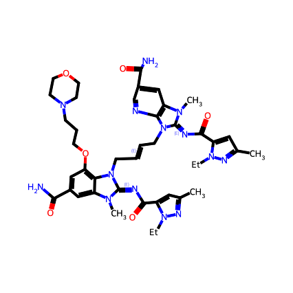 CCn1nc(C)cc1C(=O)/N=c1\n(C)c2cc(C(N)=O)cnc2n1C/C=C/Cn1/c(=N/C(=O)c2cc(C)nn2CC)n(C)c2cc(C(N)=O)cc(OCCCN3CCOCC3)c21